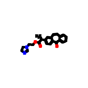 CC(C(=O)OCCN1C=NCC1)c1ccc2c(=O)c3ccccc3ccc2c1